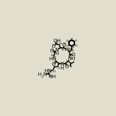 CC(C)C1NC(=O)C(Cc2ccccc2)NC(=O)C(CC(=O)O)NC(=O)CNC(=O)C(CCCNC(=N)N)NC1=O